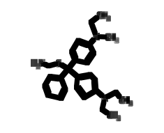 CCN(C)c1ccc(C(SCN)(c2ccccc2)c2ccc(N(CC)CC)cc2)cc1